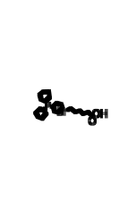 O=C(O)CCCCCBr.c1ccc(P(c2ccccc2)c2ccccc2)cc1